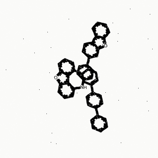 C1=C(c2ccc(-c3ccccc3)cc2)CC(c2cccc3oc4cccc(Nc5ccc(-c6ccc7c(c6)oc6ccccc67)cc5)c4c23)CC1